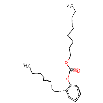 CCCCCCCCOC(=O)Oc1ccccc1CCCCCC